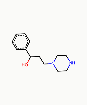 OC(CCN1CCNCC1)c1ccccc1